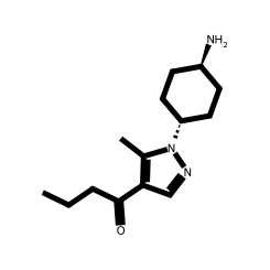 CCCC(=O)c1cnn([C@H]2CC[C@H](N)CC2)c1C